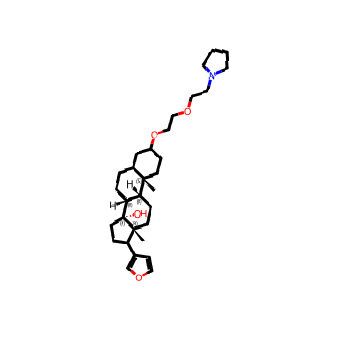 C[C@]12CCC(OCCOCCN3CCCC3)CC1CC[C@@H]1[C@H]2CC[C@]2(C)C(c3ccoc3)CC[C@@]12O